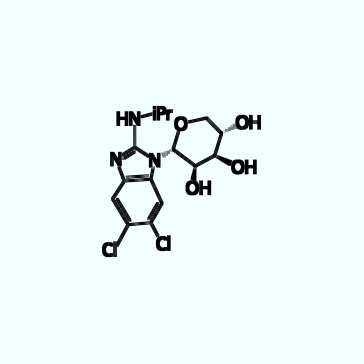 CC(C)Nc1nc2cc(Cl)c(Cl)cc2n1[C@@H]1OC[C@H](O)[C@@H](O)[C@H]1O